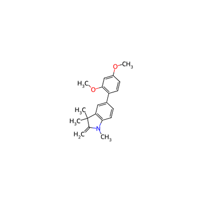 C=C1N(C)c2ccc(-c3ccc(OC)cc3OC)cc2C1(C)C